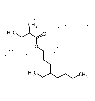 CCCCC(CC)CCCOC(=O)C(C)CC